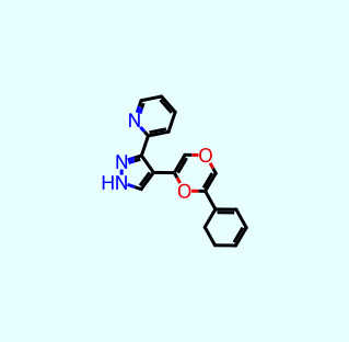 C1=CCCC(C2=COC=C(c3c[nH]nc3-c3ccccn3)O2)=C1